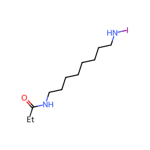 CCC(=O)NCCCCCCCCNI